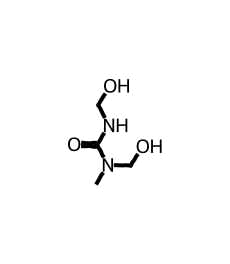 CN(CO)C(=O)NCO